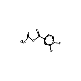 O=C(OC(=O)C(Cl)(Cl)Cl)c1ccc(F)c(Br)c1